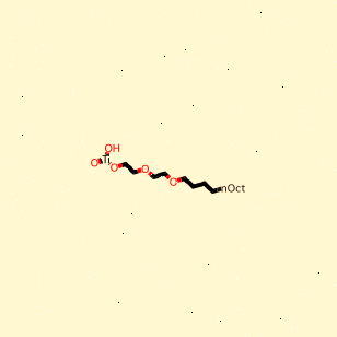 CCCCCCCCCCCCOCCOCC[O][Ti](=[O])[OH]